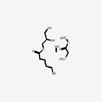 CO.O=C(CCCCO)OCC(O)CO.O=COC(=O)CC(=O)O